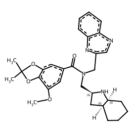 COc1cc(C(=O)N(Cc2cnc3ccccc3n2)C[C@@H]2C[C@@H]3CCCC[C@@H]3N2)cc2c1OC(C)(C)O2